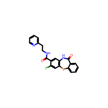 O=C(NCCc1ccccn1)c1cc2c(cc1F)Sc1ccccc1C(=O)N2